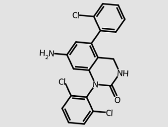 Nc1cc(-c2ccccc2Cl)c2c(c1)N(c1c(Cl)cccc1Cl)C(=O)NC2